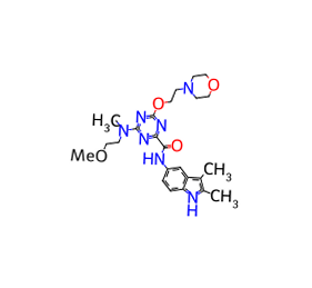 COCCN(C)c1nc(OCCN2CCOCC2)nc(C(=O)Nc2ccc3[nH]c(C)c(C)c3c2)n1